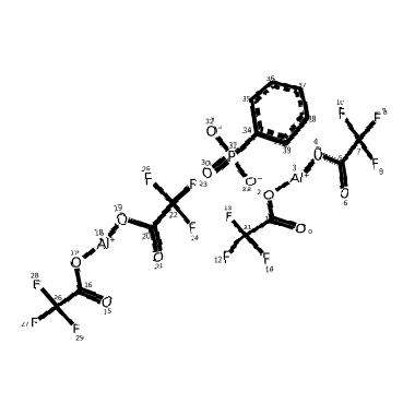 O=C([O][Al+][O]C(=O)C(F)(F)F)C(F)(F)F.O=C([O][Al+][O]C(=O)C(F)(F)F)C(F)(F)F.O=P([O-])([O-])c1ccccc1